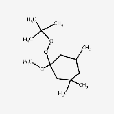 COC1(OOC(C)(C)C)CC(C)CC(C)(C)C1